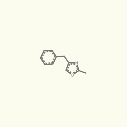 Cc1nc(Cc2ccccc2)co1